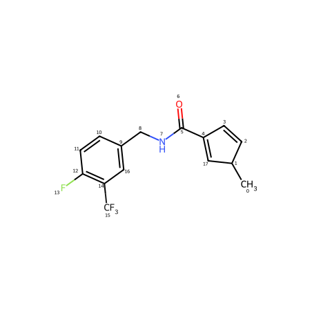 CC1C=CC(C(=O)NCc2ccc(F)c(C(F)(F)F)c2)=C1